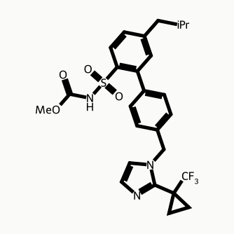 COC(=O)NS(=O)(=O)c1ccc(CC(C)C)cc1-c1ccc(Cn2ccnc2C2(C(F)(F)F)CC2)cc1